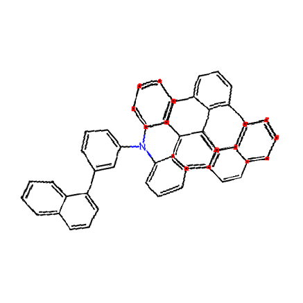 c1ccc(-c2ccccc2-c2c(-c3ccccc3)cccc2-c2cccc(N(c3cccc(-c4ccc5ccccc5c4)c3)c3cccc(-c4cccc5ccccc45)c3)c2)cc1